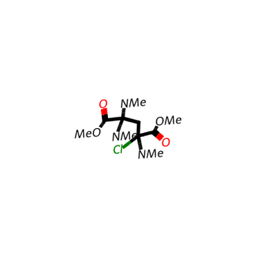 CNC(Cl)(CC(NC)(NC)C(=O)OC)C(=O)OC